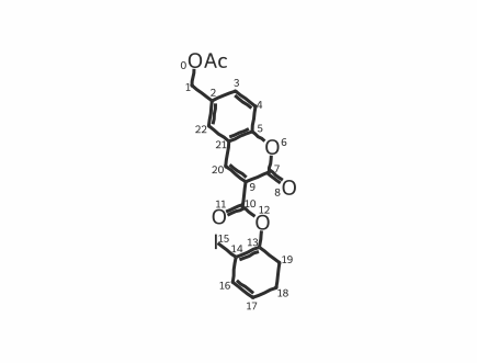 CC(=O)OCc1ccc2oc(=O)c(C(=O)OC3=C(I)C=CCC3)cc2c1